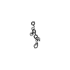 O=c1cc(OCc2ccccc2)ccn1-c1ccc2c(cnn2CCN2CCCCC2)c1